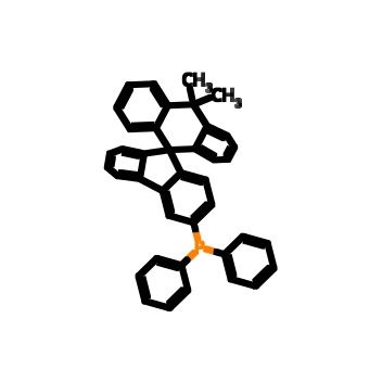 CC1(C)c2ccccc2C2(c3ccccc3-c3cc(P(c4ccccc4)c4ccccc4)ccc32)c2ccccc21